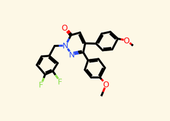 COc1ccc(-c2cc(=O)n(Cc3ccc(F)c(F)c3)nc2-c2ccc(OC)cc2)cc1